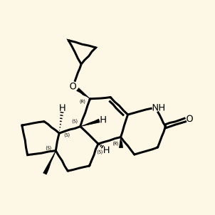 C[C@@]12CCC[C@H]1[C@@H]1[C@@H](OC3CC3)C=C3NC(=O)CC[C@]3(C)[C@H]1CC2